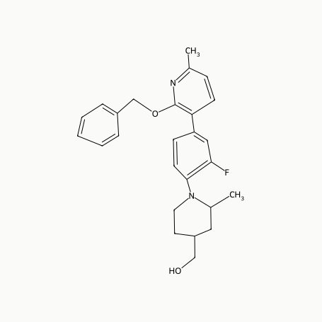 Cc1ccc(-c2ccc(N3CCC(CO)CC3C)c(F)c2)c(OCc2ccccc2)n1